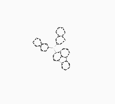 c1ccc2c(c1)-c1cccc3c(N(c4ccc5ccccc5c4)c4ccc5ccccc5c4)ccc-2c13